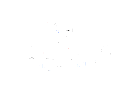 Cc1nc2cc(-c3cc4n(n3)CCN(C3CCOCC3)C4)c(O[C@H]3CCN4C(=O)OC[C@@H]4C3)cc2c(=O)n1Cc1ccc(Cl)cc1